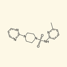 Cc1cccc(NS(=O)(=O)N2CCN(c3ncccn3)CC2)n1